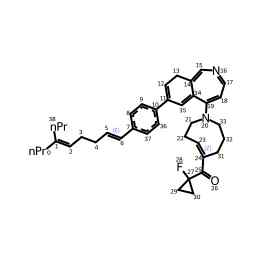 CCCC(=CCC/C=C/c1ccc(C2=CCC3=CN=CC=C(N4CC/C=C(\C(=O)C5(F)CC5)CCC4)C3=C2)cc1)CCC